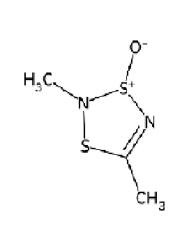 CC1=N[S+]([O-])N(C)S1